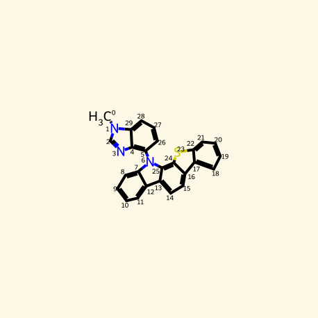 Cn1cnc2c(-n3c4ccccc4c4ccc5c6ccccc6sc5c43)cccc21